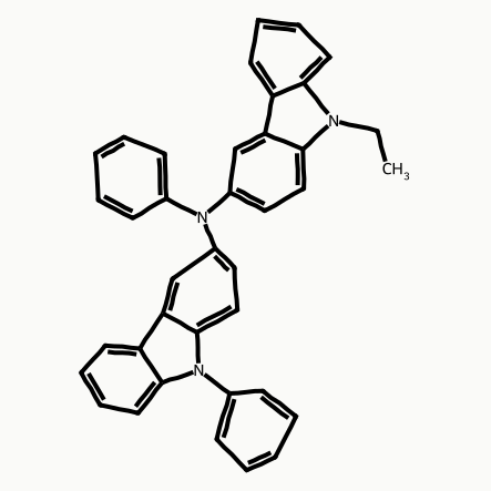 CCn1c2ccccc2c2cc(N(c3ccccc3)c3ccc4c(c3)c3ccccc3n4-c3ccccc3)ccc21